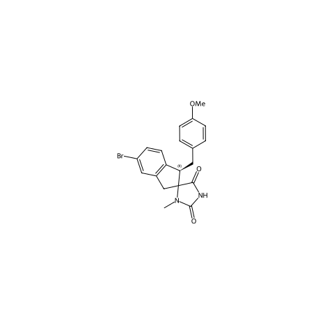 COc1ccc(C[C@@H]2c3ccc(Br)cc3CC23C(=O)NC(=O)N3C)cc1